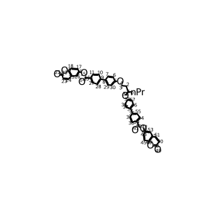 CCCC(C[CH]Oc1ccc(-c2ccc(C(=O)Oc3ccc4oc(=O)ccc4c3)cc2)cc1)Oc1ccc(-c2ccc(C(=O)Oc3ccc4oc(=O)ccc4c3)cc2)cc1